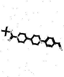 CC(C)(C)OC(=O)N1CCC(C2CCN(c3ccc(C=O)cc3)CC2)CC1